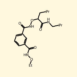 CCONC(=O)c1cccc(C(=O)NOC(CC(C)C)C(=O)NCC(C)C)c1